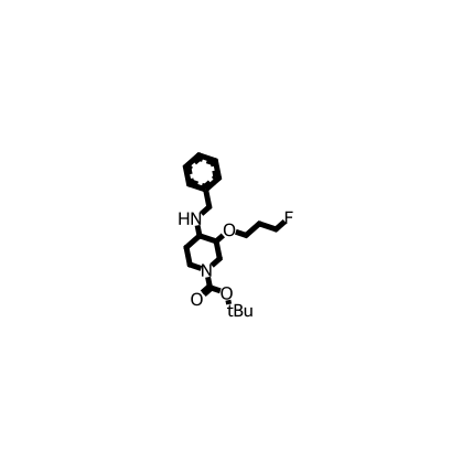 CC(C)(C)OC(=O)N1CCC(NCc2ccccc2)C(OCCCF)C1